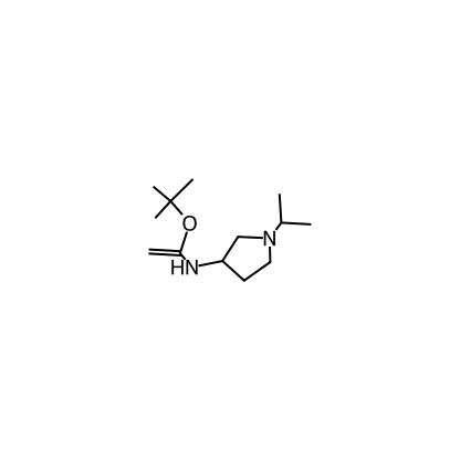 C=C(NC1CCN(C(C)C)C1)OC(C)(C)C